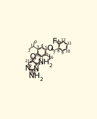 CC(C)c1cc(OCc2ccccc2F)c(I)cc1Oc1cnc(N)nc1N